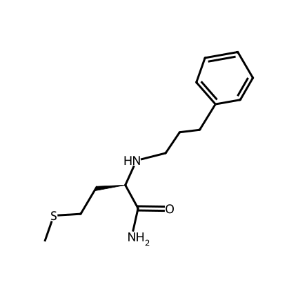 CSCC[C@@H](NCCCc1ccccc1)C(N)=O